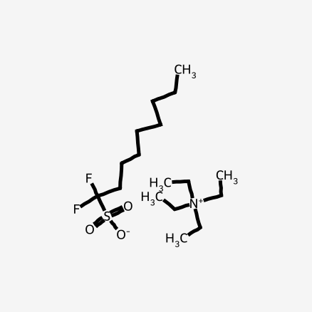 CCCCCCCCC(F)(F)S(=O)(=O)[O-].CC[N+](CC)(CC)CC